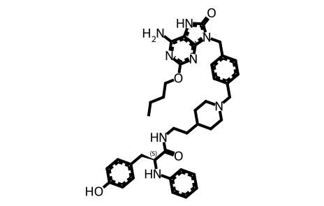 CCCCOc1nc(N)c2[nH]c(=O)n(Cc3ccc(CN4CCC(CCNC(=O)[C@H](Cc5ccc(O)cc5)Nc5ccccc5)CC4)cc3)c2n1